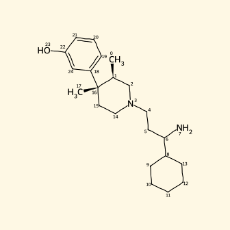 C[C@H]1CN(CCC(N)C2CCCCC2)CC[C@]1(C)c1cccc(O)c1